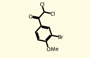 COc1ccc(C(=O)C(Cl)Cl)cc1Br